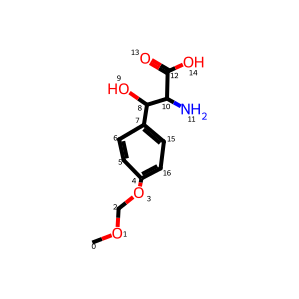 COCOc1ccc(C(O)C(N)C(=O)O)cc1